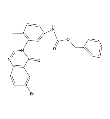 Cc1ccc(NC(=O)OCc2ccccc2)cc1-n1cnc2ccc(Br)cc2c1=O